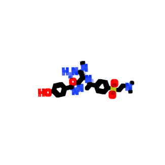 C=N/C(N)=C(\N=C(/C)c1ccc(S(=O)(=O)CCN(C)C)cc1)c1nnc(-c2ccc(O)cc2)o1